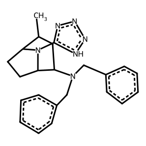 CC1CC(N(Cc2ccccc2)Cc2ccccc2)C2CCC1N2c1nnn[nH]1